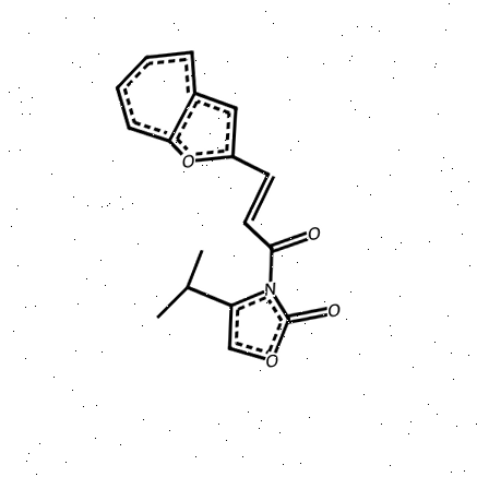 CC(C)c1coc(=O)n1C(=O)/C=C/c1cc2ccccc2o1